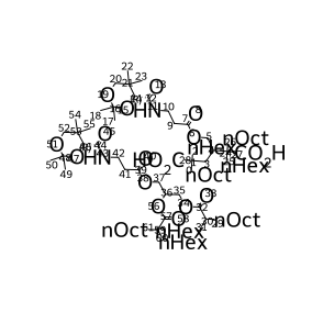 CCCCCCCCC(CCCCCC)(CC(COC(=O)CCNC(=O)[C@@H]1OC(C)(C)OCC1(C)C)C(CCCCCC)(CCCCCCCC)C(=O)O)C(=O)O.CCCCCCCCC(CCCCCC)C(=O)OCC(COC(=O)CCNC(=O)[C@@H]1OC(C)(C)OCC1(C)C)OC(=O)C(CCCCCC)CCCCCCCC